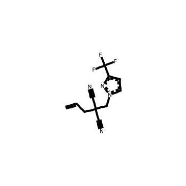 C=CCC(C#N)(C#N)Cn1ccc(C(F)(F)F)n1